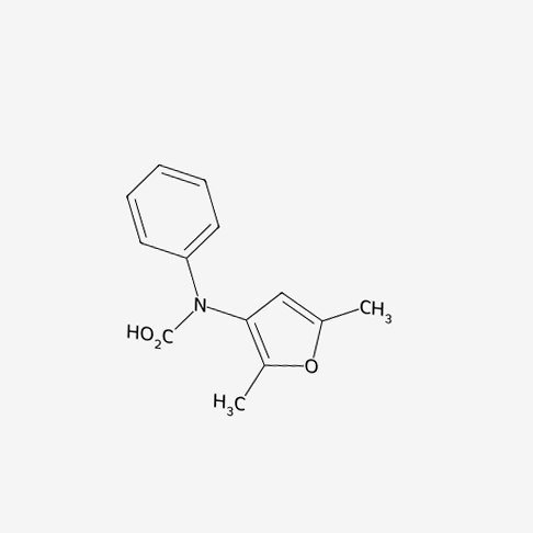 Cc1cc(N(C(=O)O)c2ccccc2)c(C)o1